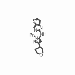 CC(C)n1nc(C2CCOCC2)cc1Nc1ncc2sccc2n1